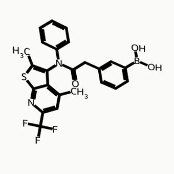 Cc1sc2nc(C(F)(F)F)cc(C)c2c1N(C(=O)Cc1cccc(B(O)O)c1)c1ccccc1